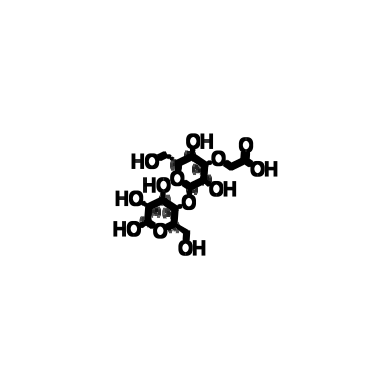 O=C(O)CO[C@@H]1[C@@H](O)[C@@H](O[C@H]2[C@H](O)[C@@H](O)[C@H](O)O[C@@H]2CO)O[C@H](CO)[C@H]1O